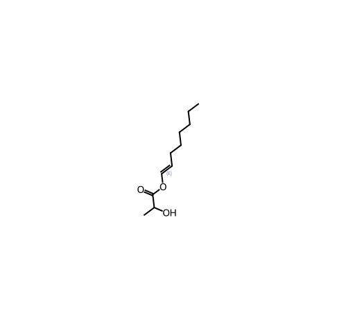 CCCCCC/C=C/OC(=O)C(C)O